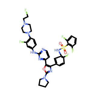 O=S(=O)(Nc1cc(-c2nc(N3CCCC3)oc2-c2ccnc(Nc3ccc(N4CCN(CCF)CC4)c(F)c3)n2)ccc1F)c1c(F)cccc1F